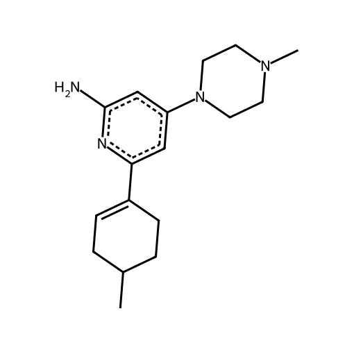 CC1CC=C(c2cc(N3CCN(C)CC3)cc(N)n2)CC1